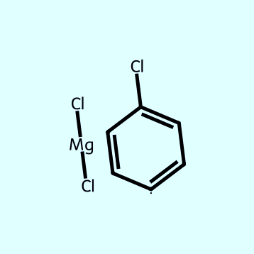 Clc1cc[c]cc1.[Cl][Mg][Cl]